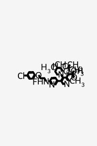 Cc1ncc(-c2ccc(NCCOc3ccc(Cl)cc3F)nc2)c(N2CCC(C)(C)CC2)c1[C@H](OC(C)(C)C)C(=O)O